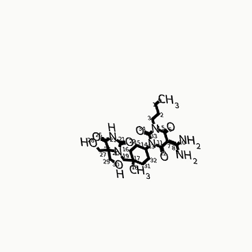 CCCCN1C(=O)C(=C(N)N)C(=O)N(C2CCC(C)(CN3C(=O)NC(=O)C3(CO)CO)CC2)C1=O